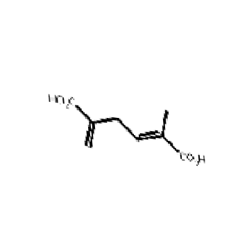 C=C(CC=C(C)C(=O)O)C(=O)O